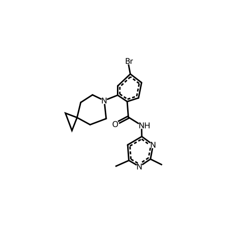 Cc1cc(NC(=O)c2ccc(Br)cc2N2CCC3(CC2)CC3)nc(C)n1